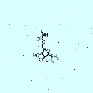 B[C@@H]1O[C@H](CO[PH](=O)NI)[C@@H](O)[C@@]1(C)Cl